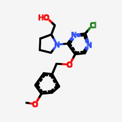 COc1ccc(COc2cnc(Cl)nc2N2CCCC2CO)cc1